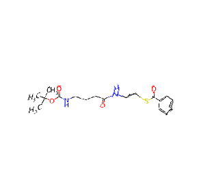 CC(C)(C)OC(=O)NCCCC(=O)NCCSC(=O)c1ccccc1